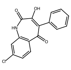 O=c1[nH]c2cc(Cl)ccc2c(=O)c(-c2ccccc2)c1O